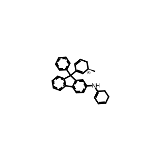 C[C@H]1C=C(C2(c3ccccc3)c3ccccc3-c3ccc(NC4=CC=CCC4)cc32)C=CC1